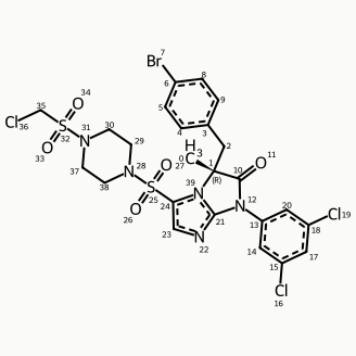 C[C@@]1(Cc2ccc(Br)cc2)C(=O)N(c2cc(Cl)cc(Cl)c2)c2ncc(S(=O)(=O)N3CCN(S(=O)(=O)CCl)CC3)n21